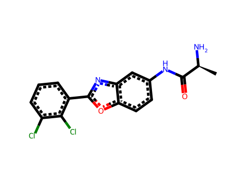 C[C@H](N)C(=O)Nc1ccc2oc(-c3cccc(Cl)c3Cl)nc2c1